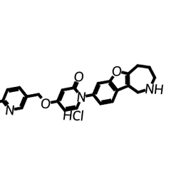 Cc1ccc(COc2ccn(-c3ccc4c5c(oc4c3)CCCNC5)c(=O)c2)cn1.Cl